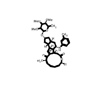 CC[C@H]1CCCC[C@@H](C)C(=O)C2=C[C@H]3[C@@H]4C[C@H](O[C@@H]5OC(C)[C@H](OC)C(OC)C5OC)C[C@H]4C[C@H](Nc4cccc(C)c4)[C@H]3[C@@H]2CC(=O)O1